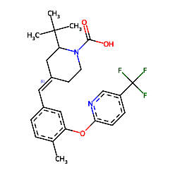 Cc1ccc(/C=C2\CCN(C(=O)O)C(C(C)(C)C)C2)cc1Oc1ccc(C(F)(F)F)cn1